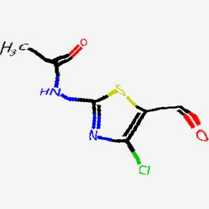 CC(=O)Nc1nc(Cl)c(C=O)s1